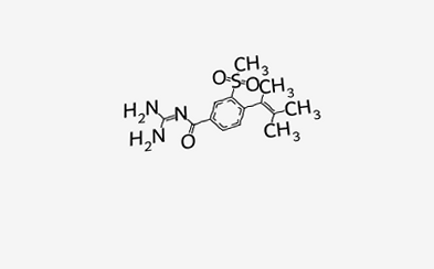 CC(C)=C(C)c1ccc(C(=O)N=C(N)N)cc1S(C)(=O)=O